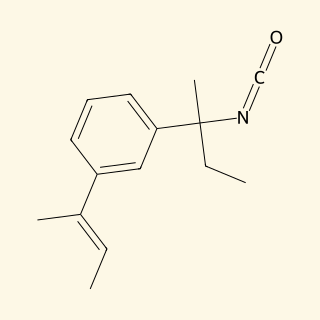 CC=C(C)c1cccc(C(C)(CC)N=C=O)c1